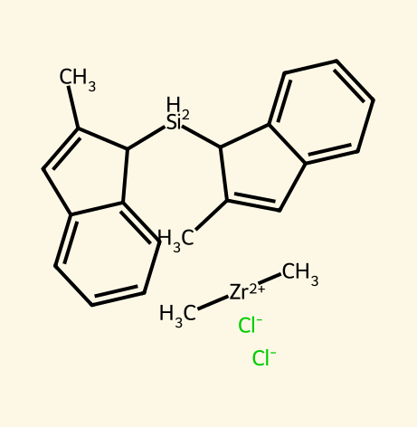 CC1=Cc2ccccc2C1[SiH2]C1C(C)=Cc2ccccc21.[CH3][Zr+2][CH3].[Cl-].[Cl-]